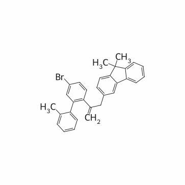 C=C(Cc1ccc2c(c1)-c1ccccc1C2(C)C)c1ccc(Br)cc1-c1ccccc1C